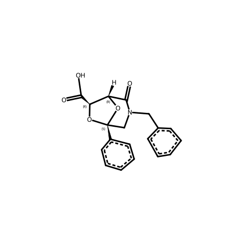 O=C(O)[C@@H]1O[C@@]2(c3ccccc3)CN(Cc3ccccc3)C(=O)[C@@H]1O2